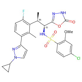 COc1cc(Cl)ccc1S(=O)(=O)N[C@H](c1n[nH]c(=O)o1)[C@H](C)c1c(F)ccc(-c2ccn(C3CC3)n2)c1C